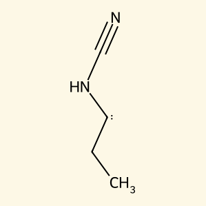 CC[C]NC#N